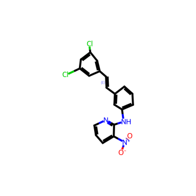 O=[N+]([O-])c1cccnc1Nc1cccc(/C=C/c2cc(Cl)cc(Cl)c2)c1